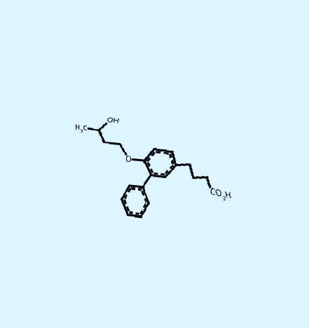 CC(O)CCOc1ccc(CCCC(=O)O)cc1-c1ccccc1